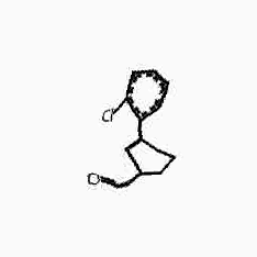 O=CC1CCC(c2ccccc2Cl)C1